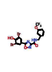 O=C(NCc1cccc(OC(F)(F)F)c1)c1noc(-c2cc(Br)c(O)c(Br)c2)n1